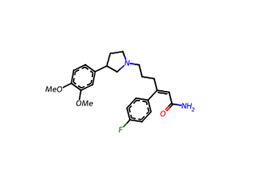 COc1ccc(C2CCN(CCCC(=CC(N)=O)c3ccc(F)cc3)C2)cc1OC